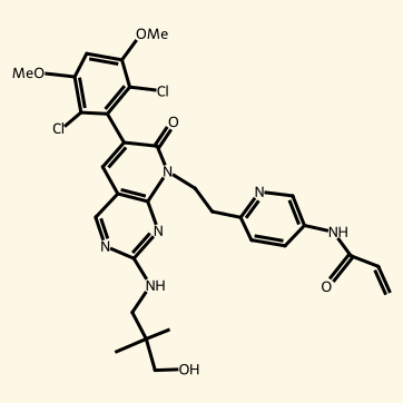 C=CC(=O)Nc1ccc(CCn2c(=O)c(-c3c(Cl)c(OC)cc(OC)c3Cl)cc3cnc(NCC(C)(C)CO)nc32)nc1